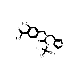 Cc1cc(CN(Cc2cscn2)C(=O)OC(C)(C)C)ccc1C(=O)O